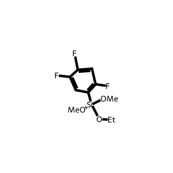 CCO[Si](OC)(OC)c1cc(F)c(F)cc1F